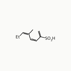 C=C(/C=C\C(C)=C/CC)S(=O)(=O)O